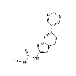 CCNC(=O)Nc1cn2ccc(-c3cncnc3)cc2n1